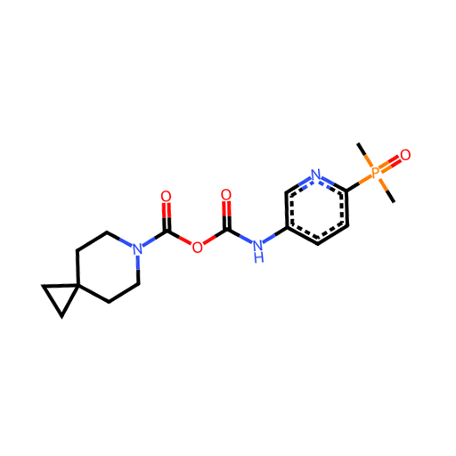 CP(C)(=O)c1ccc(NC(=O)OC(=O)N2CCC3(CC2)CC3)cn1